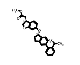 COC(=O)C[C@@H]1COc2cc(O[C@@H]3CCc4cc(-c5ccccc5C(C)C)ccc43)ccc21